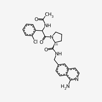 CC(=O)NC(C(=O)N1CCC[C@H]1C(=O)NCc1ccc2c(N)nccc2c1)c1ccccc1Cl